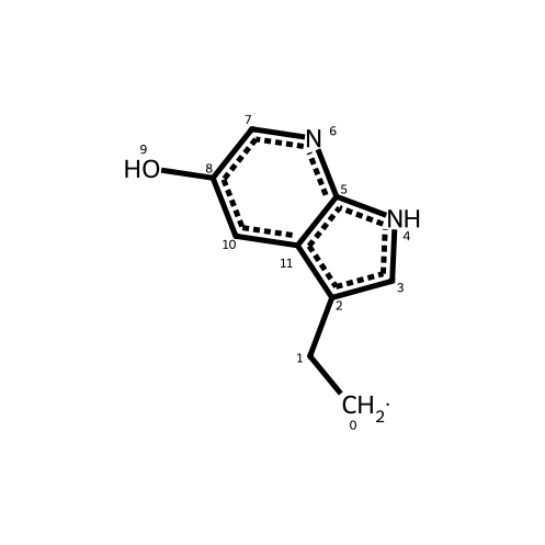 [CH2]Cc1c[nH]c2ncc(O)cc12